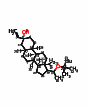 C=C[C@@]1(O)CC[C@H]2[C@H](CC[C@@H]3[C@@H]2CC[C@]2(C)C(C(C)O[Si](C)(C)C(C)(C)C)CC[C@@H]32)C1